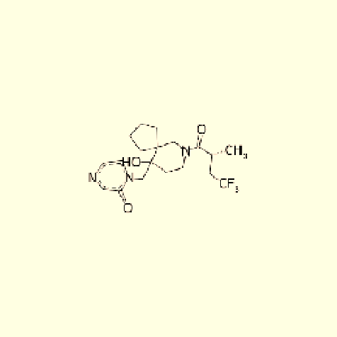 C[C@H](CC(F)(F)F)C(=O)N1CCC(O)(Cn2ccncc2=O)C2(CCCC2)C1